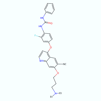 [C-]#[N+]c1cc2c(Oc3ccc(NC(=O)Nc4ccccc4)c(F)c3)ccnc2cc1OCCCN(CC)CC